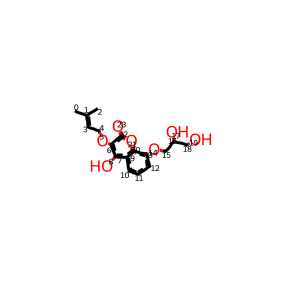 CC(C)=CCOc1c(O)c2cccc(OCC(O)CO)c2oc1=O